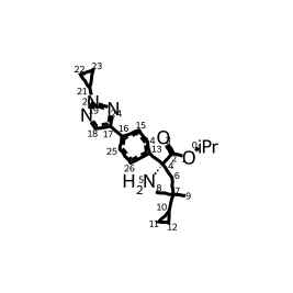 CC(C)OC(=O)[C@@](N)(CC(C)(C)C1CC1)c1ccc(-c2cnn(C3CC3)n2)cc1